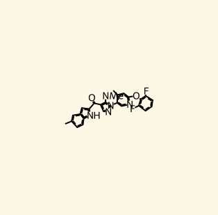 CNc1c(C(=O)c2cc3cc(C)ccc3[nH]2)cnn1-c1cnc(Oc2c(F)cccc2F)cc1C